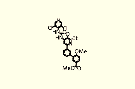 CCn1nc(-c2cccc(-c3cc(C(=O)OC)ccc3OC)c2)cc(NC(=O)Nc2c(Cl)cncc2Cl)c1=O